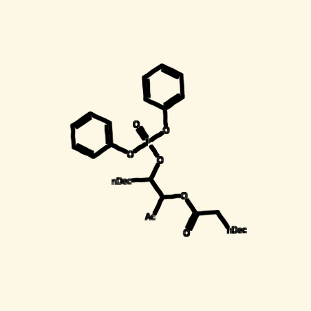 CCCCCCCCCCCC(=O)OC(C(C)=O)C(CCCCCCCCCC)OP(=O)(Oc1ccccc1)Oc1ccccc1